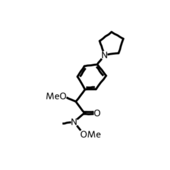 COC(C(=O)N(C)OC)c1ccc(N2CCCC2)cc1